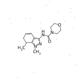 CC1CC=Cc2c(NC(=O)N3CCOCC3)nn(C)c21